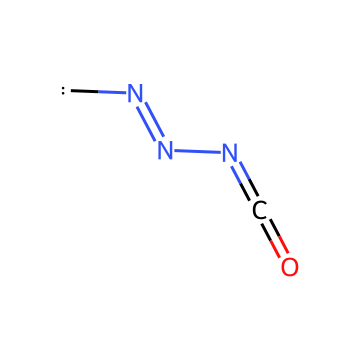 [CH]N=NN=C=O